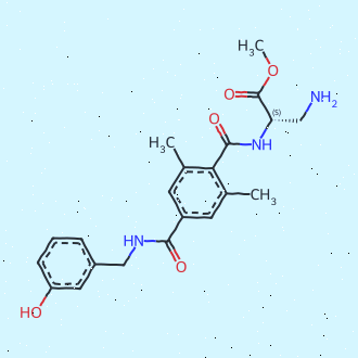 COC(=O)[C@H](CN)NC(=O)c1c(C)cc(C(=O)NCc2cccc(O)c2)cc1C